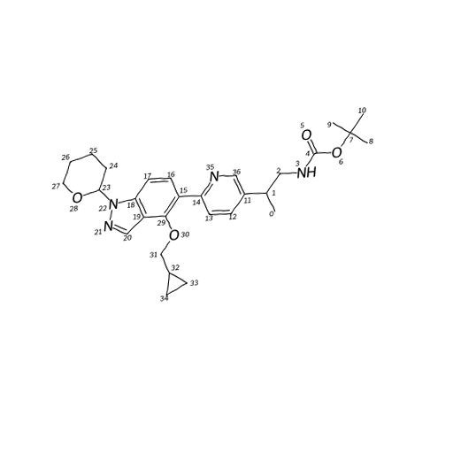 CC(CNC(=O)OC(C)(C)C)c1ccc(-c2ccc3c(cnn3C3CCCCO3)c2OCC2CC2)nc1